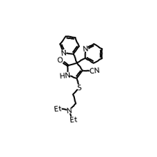 CCN(CC)CCSC1=C(C#N)C(c2ccccn2)(c2ccccn2)C(=O)N1